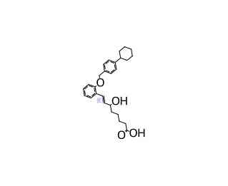 O=C(O)CCCCC(O)/C=C/c1ccccc1OCc1ccc(C2CCCCC2)cc1